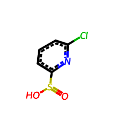 O=S(O)c1cccc(Cl)n1